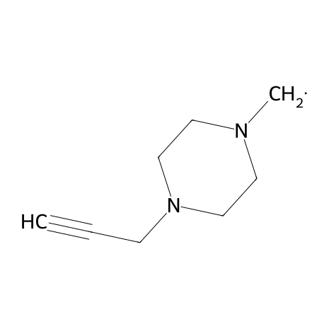 C#CCN1CCN([CH2])CC1